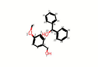 COc1ccc(CO)cc1.OC(c1ccccc1)c1ccccc1